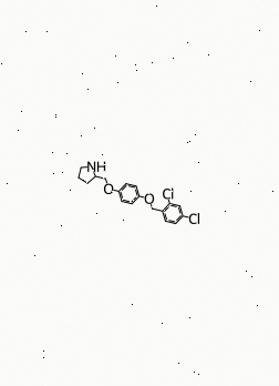 Clc1ccc(COc2ccc(OCC3CCCN3)cc2)c(Cl)c1